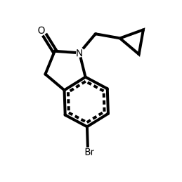 O=C1Cc2cc(Br)ccc2N1CC1CC1